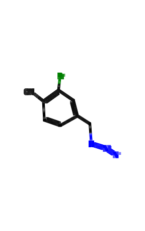 [N-]=[N+]=NCc1ccc(N=O)c(Br)c1